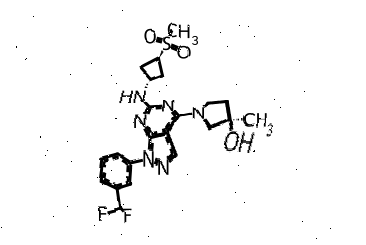 C[C@@]1(O)CCN(c2nc(N[C@H]3C[C@H](S(C)(=O)=O)C3)nc3c2cnn3-c2cccc(C(F)F)c2)C1